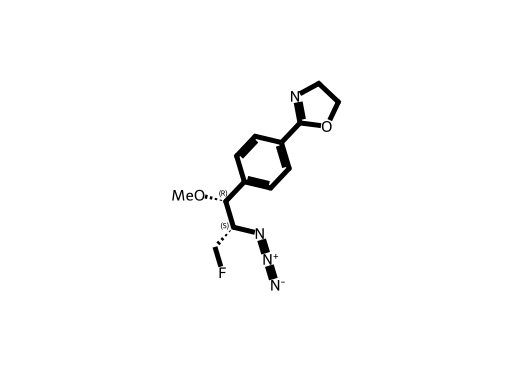 CO[C@H](c1ccc(C2=NCCO2)cc1)[C@@H](CF)N=[N+]=[N-]